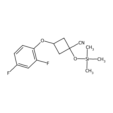 C[Si](C)(C)OC1(C#N)CC(Oc2ccc(F)cc2F)C1